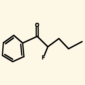 CCCC(F)C(=O)c1ccccc1